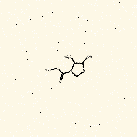 CCCCOC(=O)N1CCC(O)C1C(=O)O